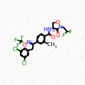 Cc1cc(/C(Cc2cc(Cl)cc(Cl)c2)=N/OC(F)(F)F)ccc1C(=O)N[C@@H]1CON(CC(F)F)C1=O